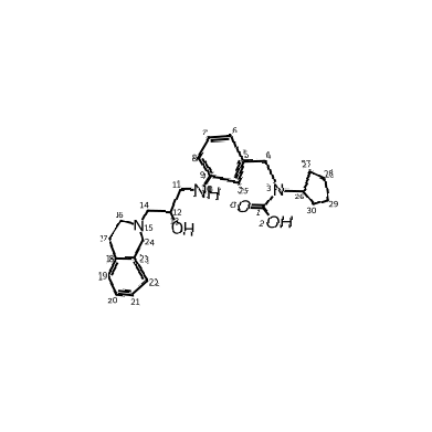 O=C(O)N(Cc1cccc(NCC(O)CN2CCc3ccccc3C2)c1)C1CCCC1